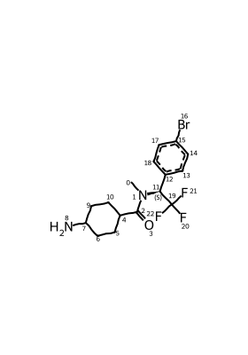 CN(C(=O)C1CCC(N)CC1)[C@@H](c1ccc(Br)cc1)C(F)(F)F